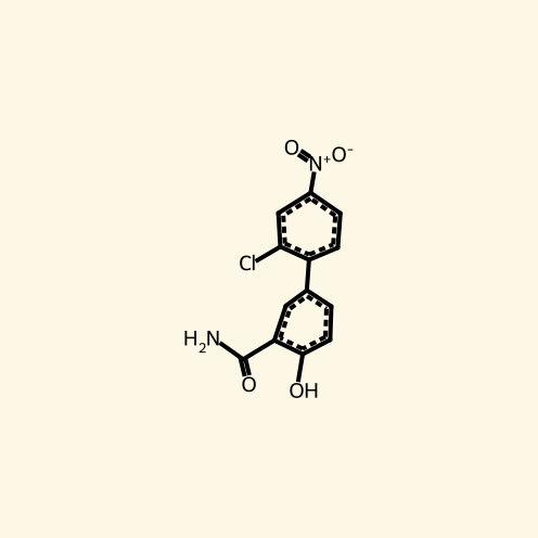 NC(=O)c1cc(-c2ccc([N+](=O)[O-])cc2Cl)ccc1O